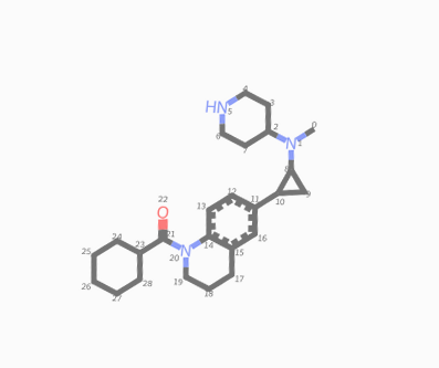 CN(C1CCNCC1)C1CC1c1ccc2c(c1)CCCN2C(=O)C1CCCCC1